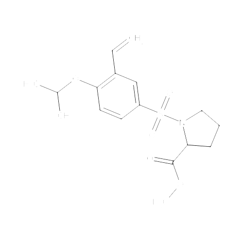 C=Cc1cc(S(=O)(=O)N2CCCC2C(=O)OC)ccc1OC(C)C